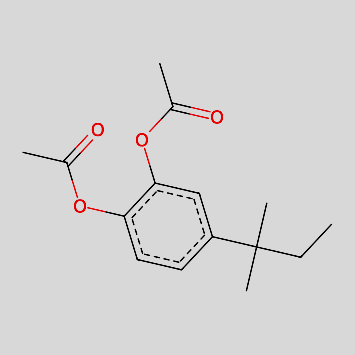 CCC(C)(C)c1ccc(OC(C)=O)c(OC(C)=O)c1